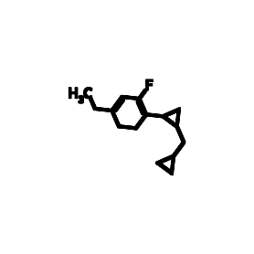 CCC1=CC(F)=C(C2CC2CC2CC2)CC1